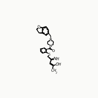 C/C(O)=C/C(=N)CSc1ccccc1C(=O)N1CCN(Cc2ccc3c(c2)CCO3)CC1